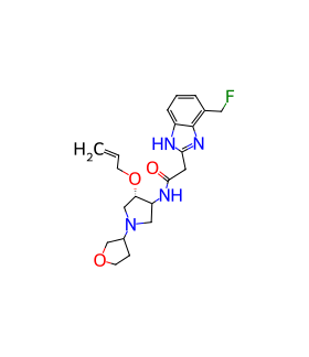 C=CCO[C@H]1CN(C2CCOC2)CC1NC(=O)Cc1nc2c(CF)cccc2[nH]1